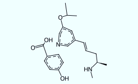 CN[C@H](C)C/C=C/c1cncc(OC(C)C)c1.O=C(O)c1ccc(O)cc1